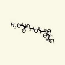 C=CC(=O)OCCOCCCS(=O)(=O)CCCl